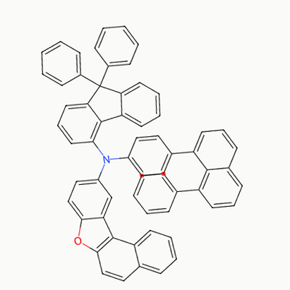 c1ccc(-c2cccc3cccc(-c4ccc(N(c5ccc6oc7ccc8ccccc8c7c6c5)c5cccc6c5-c5ccccc5C6(c5ccccc5)c5ccccc5)cc4)c23)cc1